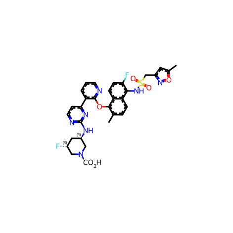 Cc1cc(CS(=O)(=O)Nc2c(F)ccc3c(Oc4ncccc4-c4ccnc(N[C@@H]5C[C@@H](F)CN(C(=O)O)C5)n4)c(C)ccc23)no1